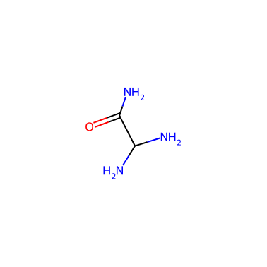 NC(=O)C(N)N